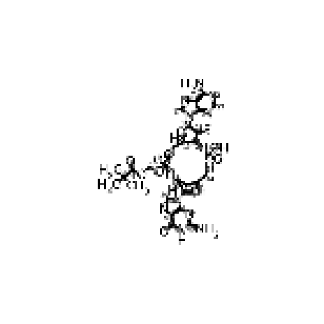 CC(C)(C)C(=O)OCOP1(=O)OC[C@H]2O[C@@H](n3cnc4c(N)ncnc43)[C@@H](F)C2OP(=O)(O)OC[C@H]2O[C@@H](n3cnc4c(=O)[nH]c(N)nc43)[C@@H](O1)C2O